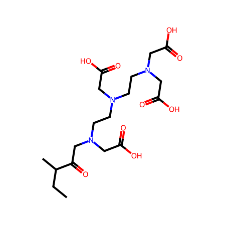 CCC(C)C(=O)CN(CCN(CCN(CC(=O)O)CC(=O)O)CC(=O)O)CC(=O)O